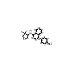 CC1(C)COCC1Nc1nnc(-c2ccc(Cl)cc2)c2ccncc12